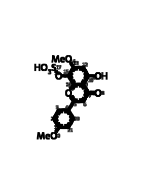 COc1ccc(-c2cc(=O)c3c(O)cc(OC)c(OS(=O)(=O)O)c3o2)cc1